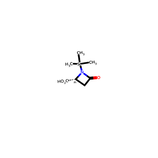 C[Si](C)(C)N1C(=O)C[C@@H]1C(=O)O